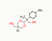 CCC1(CO)COC(C(C)(CO)c2ccc(C(C)(C)C)cc2)OC1